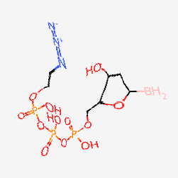 BC1CC(O)C(COP(=O)(O)OP(=O)(O)OP(=O)(O)OCCN=[N+]=[N-])O1